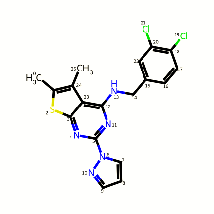 Cc1sc2nc(-n3cccn3)nc(NCc3ccc(Cl)c(Cl)c3)c2c1C